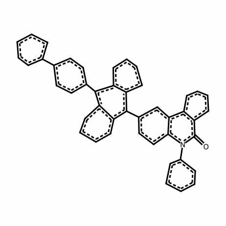 O=c1c2ccccc2c2cc(-c3c4ccccc4c(-c4ccc(-c5ccccc5)cc4)c4ccccc34)ccc2n1-c1ccccc1